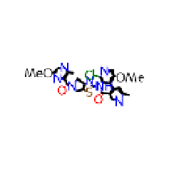 COc1cnc(C)c(C(=O)N2Cc3nc(NC(=O)c4cnc(C)cc4-c4cc(Cl)ncc4OC)sc3C2)n1